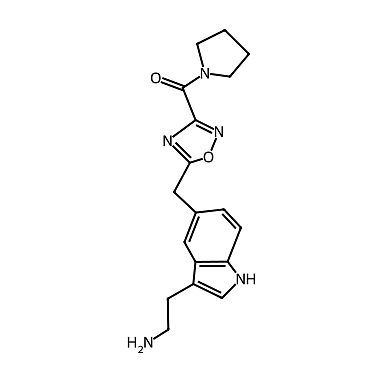 NCCc1c[nH]c2ccc(Cc3nc(C(=O)N4CCCC4)no3)cc12